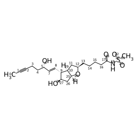 CC#CCC[C@H](O)/C=C/[C@@H]1[C@H]2C[C@@H](CCCCC(=O)NS(C)(=O)=O)O[C@H]2C[C@H]1O